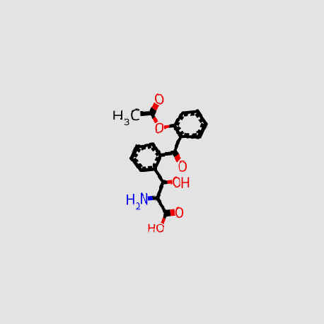 CC(=O)Oc1ccccc1C(=O)c1ccccc1C(O)C(N)C(=O)O